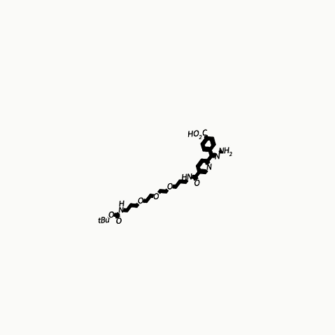 CC(C)(C)OC(=O)NCCCOCCOCCOCCCNC(=O)c1ccc(/C(=N/N)c2ccc(C(=O)O)cc2)nc1